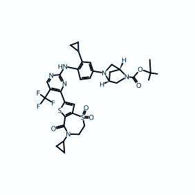 CC(C)(C)OC(=O)N1C[C@H]2C[C@@H]1CN2c1ccc(Nc2ncc(C(F)(F)F)c(-c3cc4c(s3)C(=O)N(C3CC3)CCS4(=O)=O)n2)c(C2CC2)c1